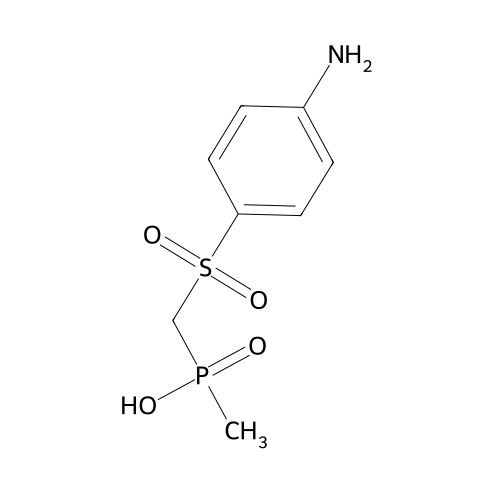 CP(=O)(O)CS(=O)(=O)c1ccc(N)cc1